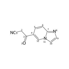 N#CCC(=O)c1ccc2nccn2c1